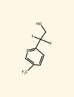 OCC(F)(F)c1ccc(C(F)(F)F)cn1